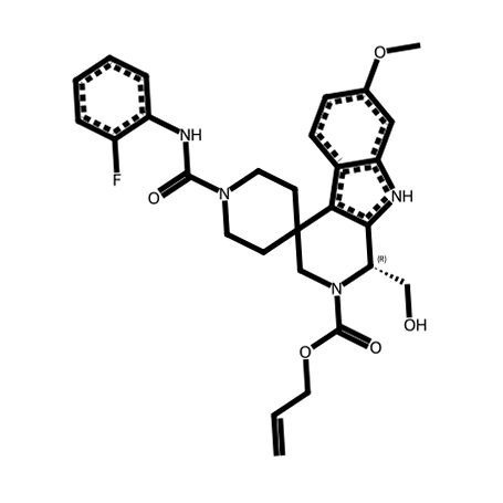 C=CCOC(=O)N1CC2(CCN(C(=O)Nc3ccccc3F)CC2)c2c([nH]c3cc(OC)ccc23)[C@@H]1CO